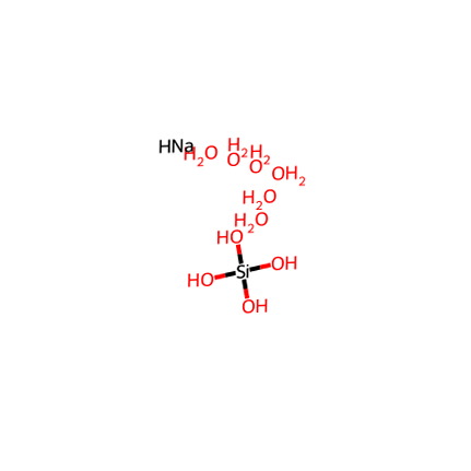 O.O.O.O.O.O.O[Si](O)(O)O.[NaH]